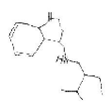 CCC(CNC1CCNC2C=CC=CC21)C(C)C